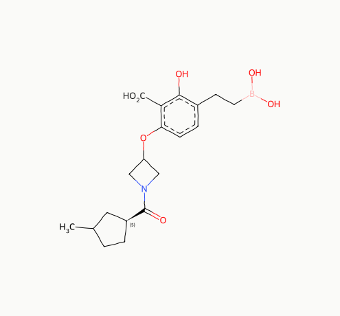 CC1CC[C@H](C(=O)N2CC(Oc3ccc(CCB(O)O)c(O)c3C(=O)O)C2)C1